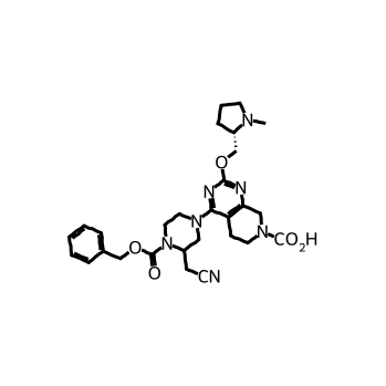 CN1CCC[C@H]1COc1nc2c(c(N3CCN(C(=O)OCc4ccccc4)C(CC#N)C3)n1)CCN(C(=O)O)C2